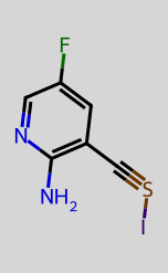 Nc1ncc(F)cc1C#SI